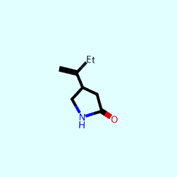 C=C(CC)C1CNC(=O)C1